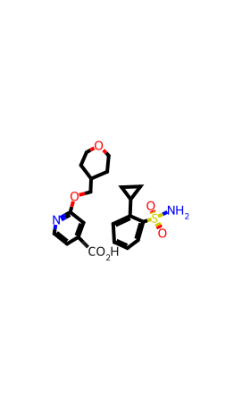 NS(=O)(=O)c1ccccc1C1CC1.O=C(O)c1ccnc(OCC2CCOCC2)c1